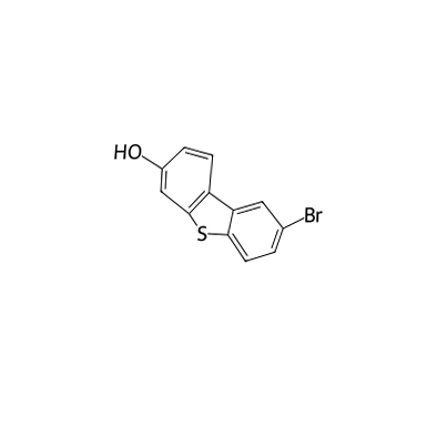 Oc1ccc2c(c1)sc1ccc(Br)cc12